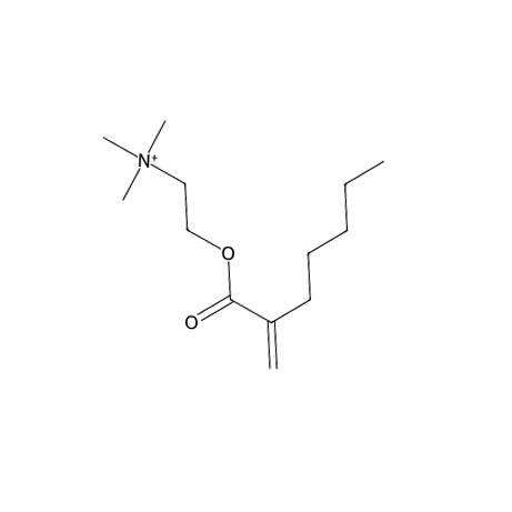 C=C(CCCCC)C(=O)OCC[N+](C)(C)C